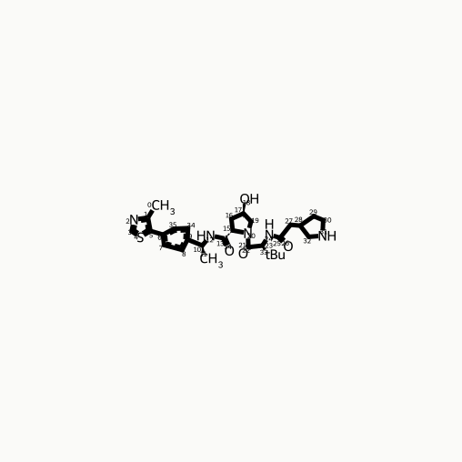 Cc1ncsc1-c1ccc([C@H](C)NC(=O)[C@@H]2C[C@@H](O)CN2C(=O)[C@@H](NC(=O)CC2CCNC2)C(C)(C)C)cc1